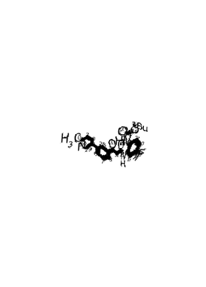 Cc1ccc(-c2cccc(C(=O)CC(=O)Nc3cc(F)ccc3NC(=O)OC(C)(C)C)c2)cn1